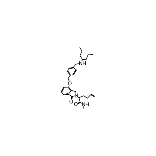 C=CCCC(C(=O)NC)N1Cc2c(OCc3ccc(CNC(CCC)CCC)cc3)cccc2C1=O